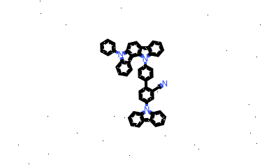 N#Cc1cc(-n2c3ccccc3c3ccccc32)ccc1-c1ccc(-n2c3ccccc3c3ccc4c(c5ccccc5n4-c4ccccc4)c32)cc1